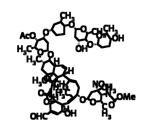 COC(=O)N[C@H]1[C@@H](C)O[C@@H](O[C@H]2C/C=C(\C)[C@H]3C=C[C@@H]4C(O[C@H]5C[C@@H](O[C@H]6CCC(O[C@H]7C[C@@H](O)C(O[C@H]8CC[C@@H](O)[C@H](C)O8)[C@H](C)O7)[C@H](C)C6)[C@@H](OC(C)=O)[C@H](C)O5)[C@@H](C)C[C@H](C)[C@H]4[C@]3(C)C(=O)C3=C(O)C4(CC(C=O)=C[C@H](O)[C@H]4/C=C/2C)OC3=O)C[C@]1(C)[N+](=O)[O-]